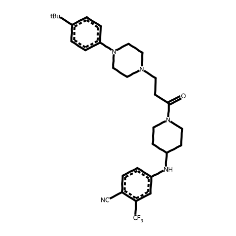 CC(C)(C)c1ccc(N2CCN(CCC(=O)N3CCC(Nc4ccc(C#N)c(C(F)(F)F)c4)CC3)CC2)cc1